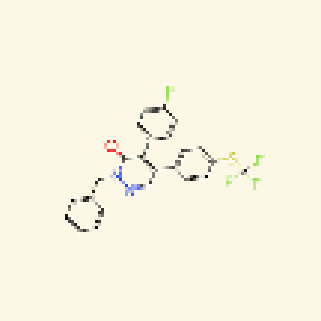 O=c1c(-c2ccc(F)cc2)c(-c2ccc(SC(F)(F)F)cc2)cnn1Cc1ccccc1